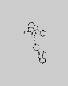 CCCNC(=O)[C@]1(CCCCN2CCC(N3Cc4ccccc4C3=O)CC2)c2ccccc2C[C@H]1c1ccccc1